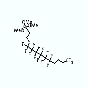 CO[Si](CCSC(F)(F)C(F)(F)C(F)(F)C(F)(F)C(F)(F)C(F)(F)CCCC(F)(F)F)(OC)OC